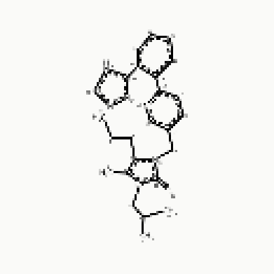 CCCc1c(C)n(CC(C)C)c(=O)n1Cc1ccc(-c2ccccc2-c2nnn[nH]2)nc1